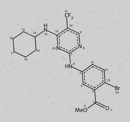 COC(=O)c1cc(Nc2ncc(C(F)(F)F)c(NC3CCCCC3)n2)ccc1Br